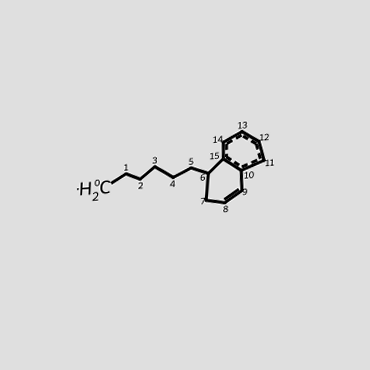 [CH2]CCCCCC1CC=Cc2ccccc21